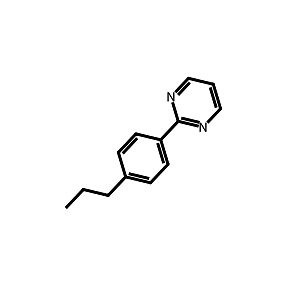 CCCc1ccc(-c2ncccn2)cc1